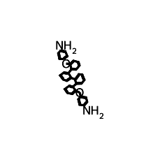 Nc1ccc(Oc2ccccc2-c2ccccc2-c2ccccc2-c2ccccc2Oc2ccc(N)cc2)cc1